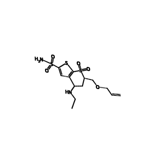 C=CCOCC1CC(NCC)c2cc(S(N)(=O)=O)sc2S1(=O)=O